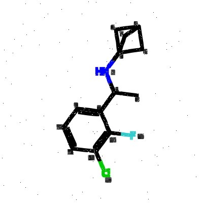 CC(NC12CC(C1)C2)c1cccc(Cl)c1F